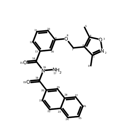 Cc1noc(C)c1COc1cccc(C(=O)N(N)C(=O)c2ccc3ccccc3c2)c1